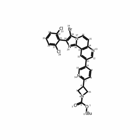 CC(C)(C)OC(=O)N1CC(c2ccc(-c3cnc4ccn5c(Br)c(-c6c(Cl)cccc6Cl)nc5c4c3)cn2)C1